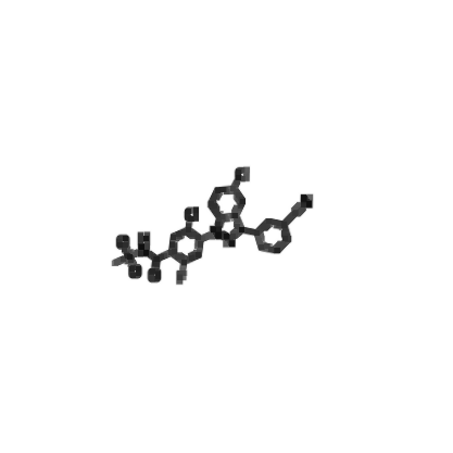 CS(=O)(=O)NC(=O)c1cc(Cl)c(-n2nc(-c3cccc(C#N)c3)c3cc(Cl)ccc32)cc1F